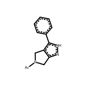 CC(=O)N1Cc2n[nH]c(-c3ccccc3)c2C1